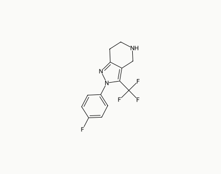 Fc1ccc(-n2nc3c(c2C(F)(F)F)CNCC3)cc1